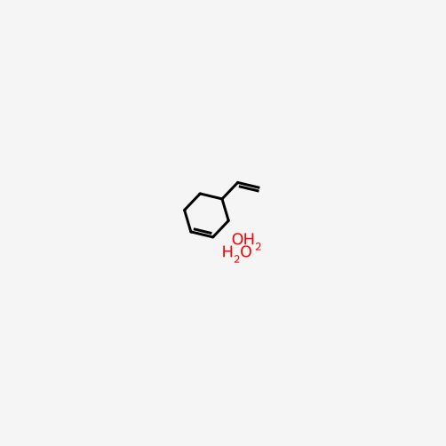 C=CC1CC=CCC1.O.O